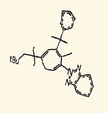 CC1=C(C(C)(C)c2ccccc2)C=C(C(C)(C)CC(C)(C)C)CC=C1n1nc2ccccc2n1